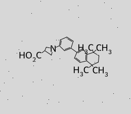 CC1(C)CCC(C)(C)c2cc(-c3cccc(N4CC(C(=O)O)C4)c3)ccc21